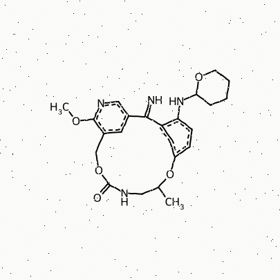 COc1ncc2cc1COC(=O)NCC(C)Oc1ccc(NC3CCCCO3)c(c1)C2=N